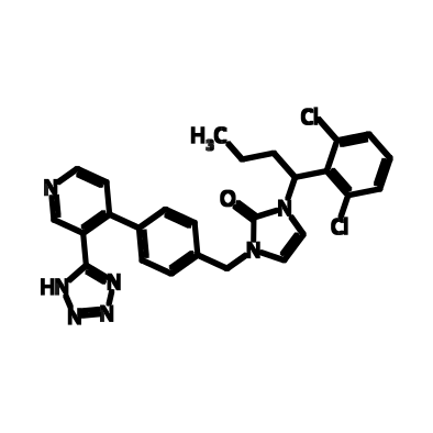 CCCC(c1c(Cl)cccc1Cl)n1ccn(Cc2ccc(-c3ccncc3-c3nnn[nH]3)cc2)c1=O